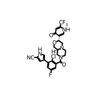 N#Cc1cc(-c2cc(F)cc(C(=O)N3CCN4C[C@@H](c5c[nH]c(C(F)(F)F)cc5=O)OC[C@@H]4C3)c2Cl)c[nH]1